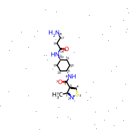 Cc1nscc1C(=O)N[C@H]1CC[C@H](NC(=O)CCN)CC1